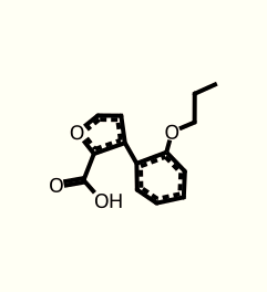 CCCOc1ccccc1-c1ccoc1C(=O)O